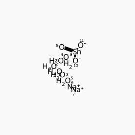 O.O.O.O.O.O.[Na+].[Na+].[O]=[Sn]([O-])[O-]